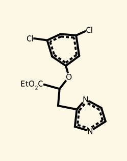 CCOC(=O)C(Cc1cnccn1)Oc1cc(Cl)cc(Cl)c1